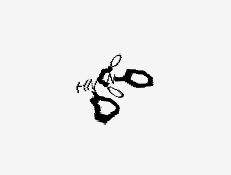 O=C1C=C(NC2CCCCC2)C(=O)N1C1CCCCC1